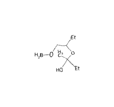 BOCC(CC)OC(C)(O)CC